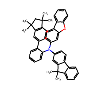 CC1(C)CC(C)(C)c2cc(-c3ccccc3N(c3ccc4c(c3)C(C)(C)c3ccccc3-4)c3ccc4c(c3)oc3ccccc34)ccc21